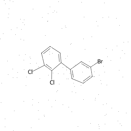 Clc1cccc(-c2cc[c]c(Br)c2)c1Cl